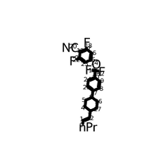 CCCC=CC1CCC(c2ccc(C(F)(F)Oc3cc(F)c(C#N)c(F)c3)cc2)CC1